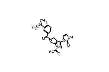 CN(C)c1cccc(C(=O)N2Cc3c(-n4cc[nH]c4=O)nn(C(=O)O)c3C2)c1